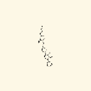 CCCCCC1CCC(CCC2CCC(C3CCC(C4CCCCC4)C(F)C3F)CC2)C(F)C1